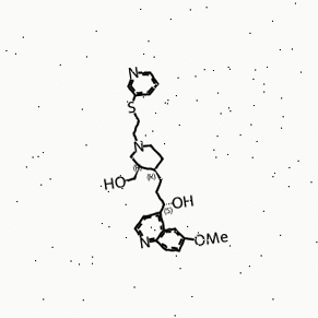 COc1ccc2nccc([C@@H](O)CC[C@@H]3CCN(CCSc4cccnc4)C[C@@H]3CO)c2c1